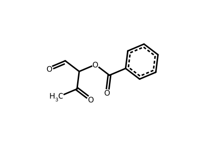 CC(=O)C(C=O)OC(=O)c1ccccc1